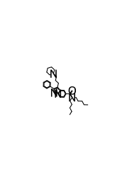 CCCCCN(CCCCC)C(=O)c1ccn2nc(-c3ccccc3)c(CCCN3CCCCC3)c2c1